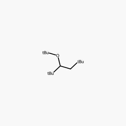 CC(C)(C)CC(OC(C)(C)C)C(C)(C)C